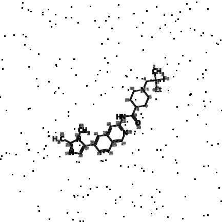 CCC(C)(F)CN1CCC(C(=O)Nc2cc3cc(-c4cnc(C)n4C)ccc3cn2)CC1